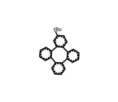 CC(C)(C)c1ccc2c(c1)-c1ccccc1-c1ccccc1-c1ccccc1-2